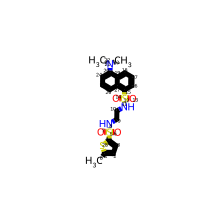 Cc1ccc(S(=O)(=O)NCCNS(=O)(=O)c2cccc3c(N(C)C)cccc23)s1